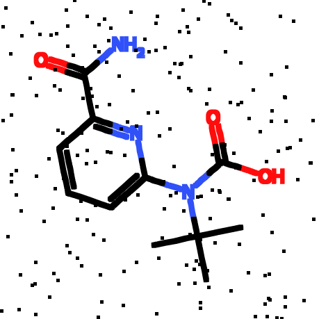 CC(C)(C)N(C(=O)O)c1cccc(C(N)=O)n1